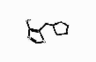 CCCc1ncoc1CC1CCCC1